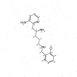 Nc1cccnc1CC(N)CCCNCc1ncccc1Cl